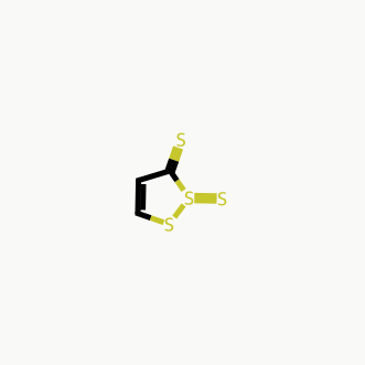 S=C1C=CSS1=S